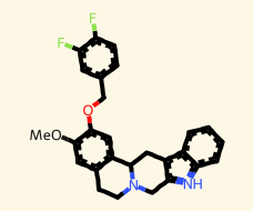 COc1cc2c(cc1OCc1ccc(F)c(F)c1)C1Cc3c([nH]c4ccccc34)CN1CC2